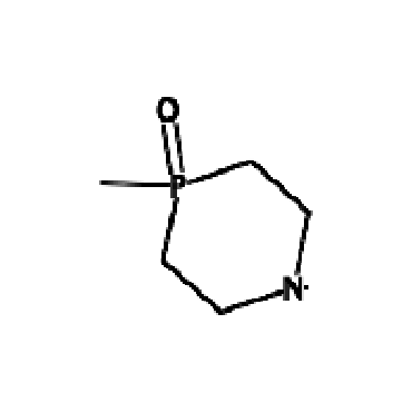 CP1(=O)CC[N]CC1